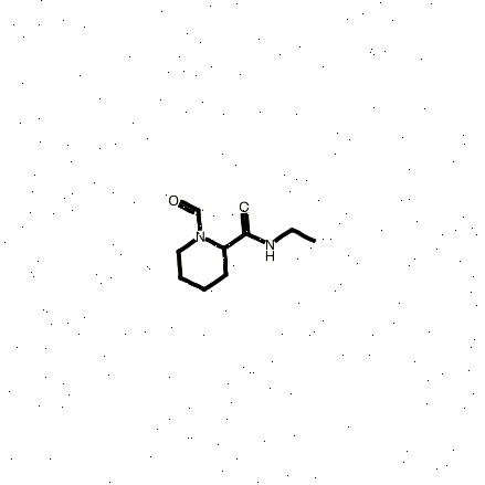 CCNC(=O)C1CCCCN1[C]=O